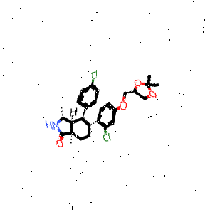 C[C@H]1NC(=O)[C@]2(C)CC[C@@H](c3ccc(OC[C@@H]4COC(C)(C)O4)cc3Cl)[C@H](c3ccc(Cl)cc3)[C@H]12